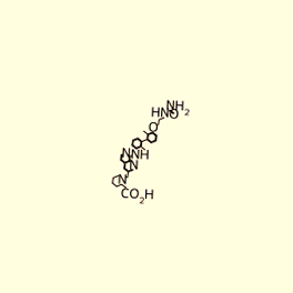 Cc1c(Nc2nccc3cc(CN4CCCCC4CC(=O)O)cnc23)cccc1-c1cccc(OCCCNC(N)=O)c1C